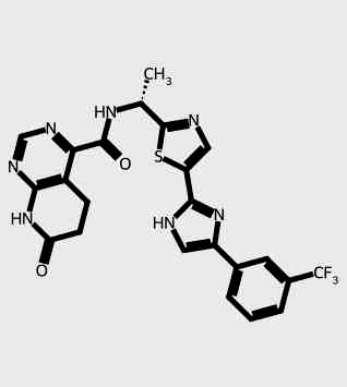 C[C@@H](NC(=O)c1ncnc2c1CCC(=O)N2)c1ncc(-c2nc(-c3cccc(C(F)(F)F)c3)c[nH]2)s1